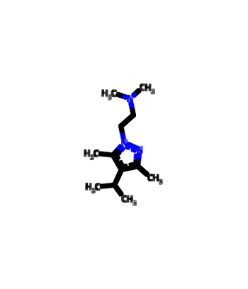 Cc1nn(CCN(C)C)c(C)c1C(C)C